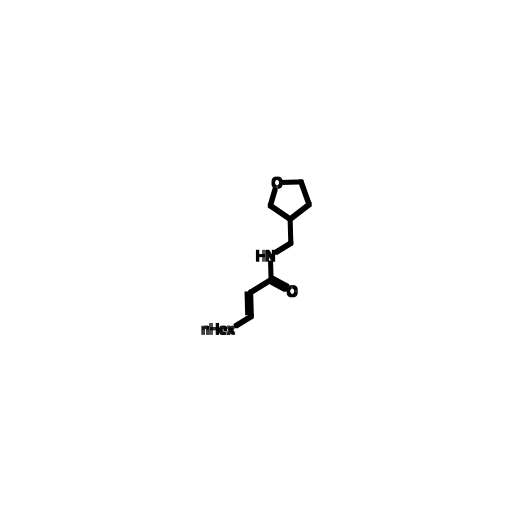 CCCCCCC=CC(=O)NCC1CCOC1